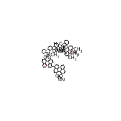 COc1c(-c2cccc([C@H](C)N(C3CCCCC3)p3oc4ccc5ccccc5c4c4c(ccc5c(-c6cccc7c6ccc6op(C(C)(C)C)oc8ccc9ccccc9c8c67)cccc54)o3)c2OC)cccc1[C@@H](C)N([C@H](C)c1ccccc1)p1oc2ccc(C)c(C)c2c2c(C)c(C)ccc2o1